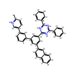 Cc1ccc(-c2cccc(-c3cc(-c4ccc5ccccc5c4)cc(-c4nc(-c5ccccc5)nc(-c5ccccc5)n4)c3)c2)cn1